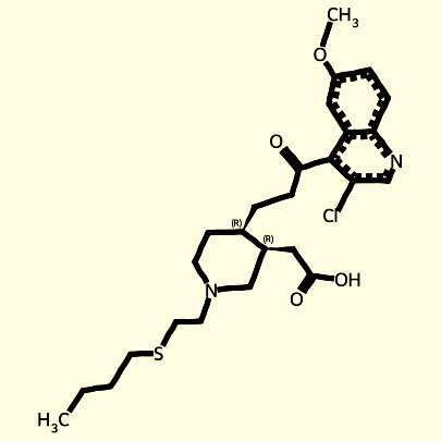 CCCCSCCN1CC[C@@H](CCC(=O)c2c(Cl)cnc3ccc(OC)cc23)[C@@H](CC(=O)O)C1